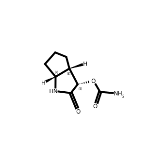 NC(=O)O[C@@H]1C(=O)N[C@@H]2CCC[C@H]12